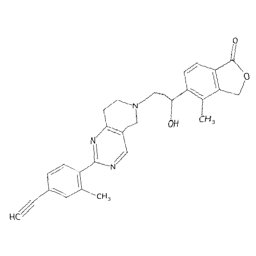 C#Cc1ccc(-c2ncc3c(n2)CCN(CC(O)c2ccc4c(c2C)COC4=O)C3)c(C)c1